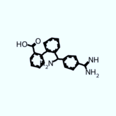 N=C(N)c1ccc(C(N)c2ccccc2-c2ccccc2C(=O)O)cc1